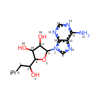 CC(C)CC(O)C1OC(n2cnc3c(N)ncnc32)C(O)C1O